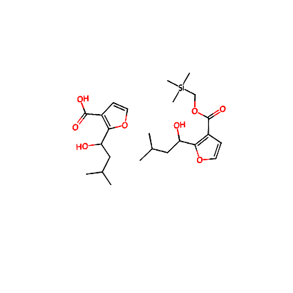 CC(C)CC(O)c1occc1C(=O)O.CC(C)CC(O)c1occc1C(=O)OC[Si](C)(C)C